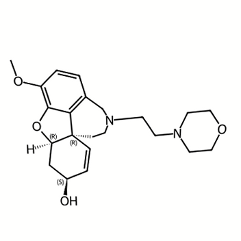 COc1ccc2c3c1O[C@@H]1C[C@H](O)C=C[C@]31CCN(CCN1CCOCC1)C2